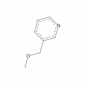 COCc1c[c]cnc1